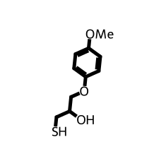 COc1ccc(OCC(O)CS)cc1